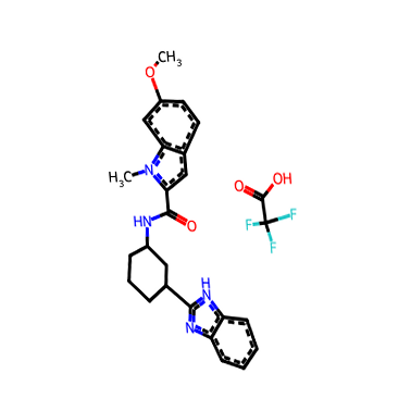 COc1ccc2cc(C(=O)NC3CCCC(c4nc5ccccc5[nH]4)C3)n(C)c2c1.O=C(O)C(F)(F)F